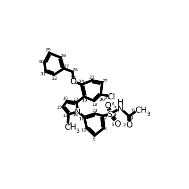 CC(=O)NS(=O)(=O)c1cccc(-n2c(C)ccc2-c2cc(Cl)ccc2OCc2ccccc2)c1